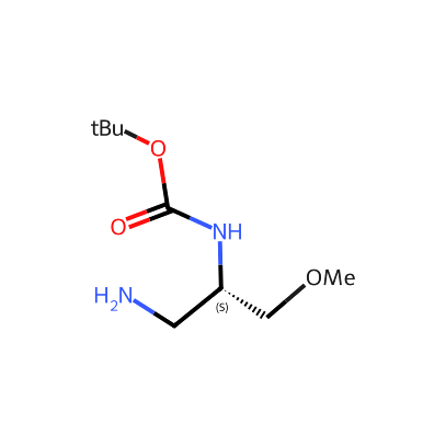 COC[C@H](CN)NC(=O)OC(C)(C)C